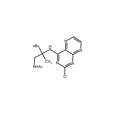 CCCCC(C)(CNC(C)=O)Nc1nc(Cl)nc2nccnc12